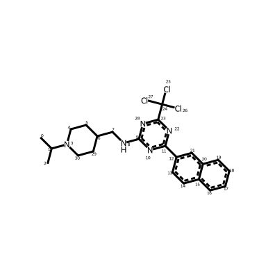 CC(C)N1CCC(CNc2nc(-c3ccc4ccccc4c3)nc(C(Cl)(Cl)Cl)n2)CC1